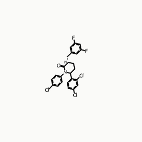 O=C1[C@H](Cc2cc(F)cc(F)c2)CCC(c2ccc(Cl)cc2Cl)N1c1ccc(Cl)cc1